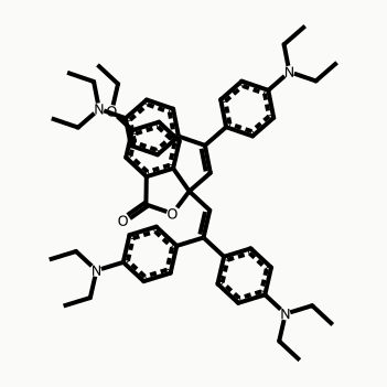 CCOc1ccc2c(c1)C(=O)OC2(C=C(c1ccc(N(CC)CC)cc1)c1ccc(N(CC)CC)cc1)C=C(c1ccc(N(CC)CC)cc1)c1ccc(N(CC)CC)cc1